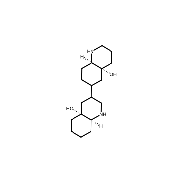 O[C@@]12CCCC[C@@H]1NCC(C1CC[C@H]3NCCC[C@@]3(O)C1)C2